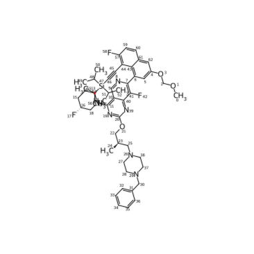 COCOc1cc(-c2ncc3c(N4CCC[C@@H](F)C4)nc(OC[C@H](C)CN4CCN(Cc5ccccc5)CC4)nc3c2F)c2c(C#C[Si](C(C)C)(C(C)C)C(C)C)c(F)ccc2c1